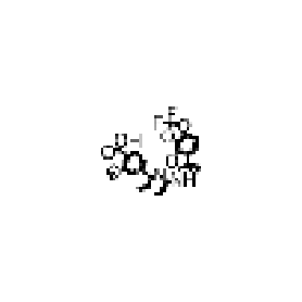 C=C/C(=N\C(=C/C)NC(=O)C1(c2ccc3c(c2)OC(F)(F)O3)CC1)c1ccc(C(=O)O)c(OC)c1